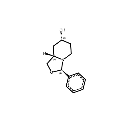 O[C@@H]1CCN2[C@H](CO[C@@H]2c2ccccc2)C1